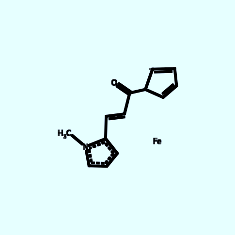 Cn1cccc1C=CC(=O)C1[C]=CC=C1.[Fe]